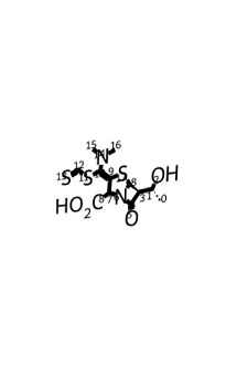 C[C@@H](O)[C@H]1C(=O)N2C(C(=O)O)C(=C(SC=S)N(C)C)SC12